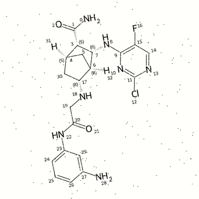 NC(=O)[C@H]1[C@H]2C[C@@H]([C@H]1Nc1nc(Cl)ncc1F)[C@H](NCC(=O)Nc1cccc(N)c1)C2